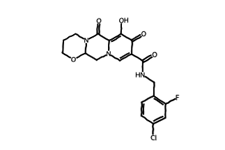 O=C(NCc1ccc(Cl)cc1F)c1cn2c(c(O)c1=O)C(=O)N1CCCOC1C2